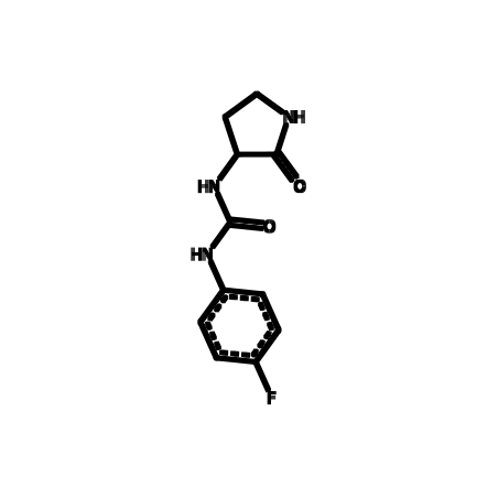 O=C(Nc1ccc(F)cc1)NC1CCNC1=O